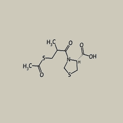 CC(=O)SCC(C)C(=O)N1CSC[C@H]1C(=O)O